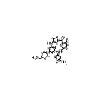 CCN1CCN(c2cc(Nc3cc(C)[nH]n3)nc(N[C@H]3CCN(C(=O)c4nc(Cl)ccc4F)C3)n2)CC1